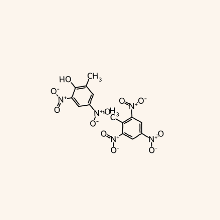 Cc1c([N+](=O)[O-])cc([N+](=O)[O-])cc1[N+](=O)[O-].Cc1cc([N+](=O)[O-])cc([N+](=O)[O-])c1O